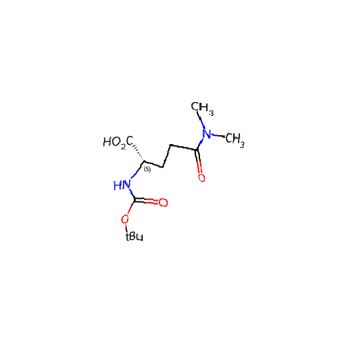 CN(C)C(=O)CC[C@H](NC(=O)OC(C)(C)C)C(=O)O